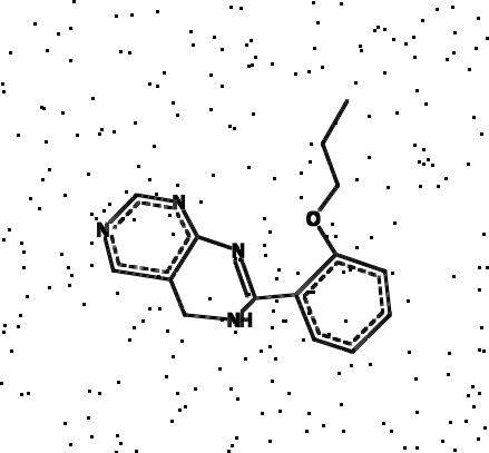 CCCOc1ccccc1C1=Nc2ncncc2CN1